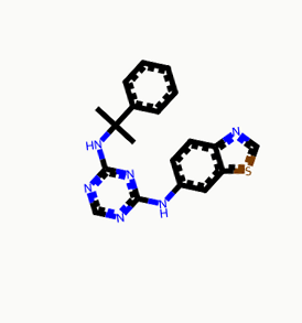 CC(C)(Nc1ncnc(Nc2ccc3ncsc3c2)n1)c1ccccc1